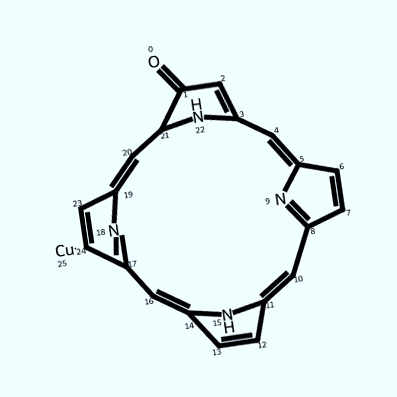 O=C1C=C2C=C3C=CC(=N3)C=c3ccc([nH]3)=CC3=NC(=CC1N2)C=C3.[Cu]